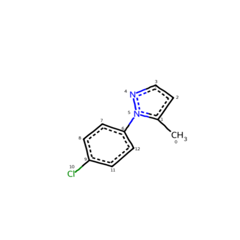 Cc1c[c]nn1-c1ccc(Cl)cc1